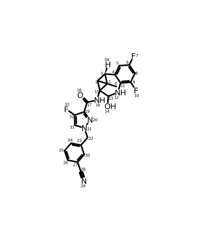 CC12C3[C@@H]1c1cc(F)cc(F)c1NC(O)C32NC(=O)c1nn(Cc2cccc(C#N)c2)cc1F